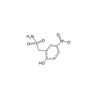 NS(=O)(=O)Cc1cc([N+](=O)[O-])ccc1O